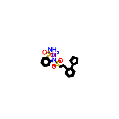 NS(=O)(=O)c1ccccc1NS(=O)(=O)/C=C/c1ccccc1C1C=CCC1